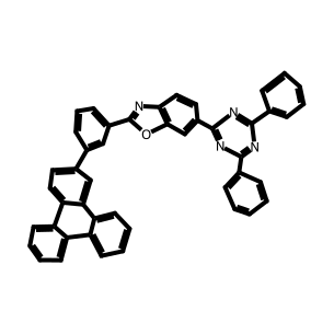 c1ccc(-c2nc(-c3ccccc3)nc(-c3ccc4nc(-c5cccc(-c6ccc7c8ccccc8c8ccccc8c7c6)c5)oc4c3)n2)cc1